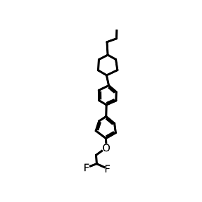 CCCC1CCC(c2ccc(-c3ccc(OCC(F)F)cc3)cc2)CC1